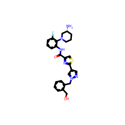 N[C@@H]1CCCN(c2c(F)cccc2NC(=O)c2csc(-c3cnn(Cc4ccccc4CO)c3)n2)C1